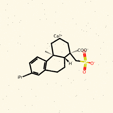 CC(C)c1ccc2c(c1)CC[C@H]1[C@@](CS(=O)(=O)[O-])(C(=O)[O-])CCC[C@]21C.[Ca+2]